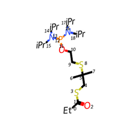 CCC(=O)SCC(C)(C)SCCOP(N(C(C)C)C(C)C)N(C(C)C)C(C)C